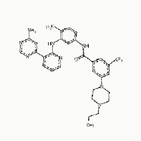 Cc1ccc(NC(=O)c2cc(N3CCN(CCO)CC3)cc(C(F)(F)F)c2)cc1Nc1ncccc1-c1cc(N)ncn1